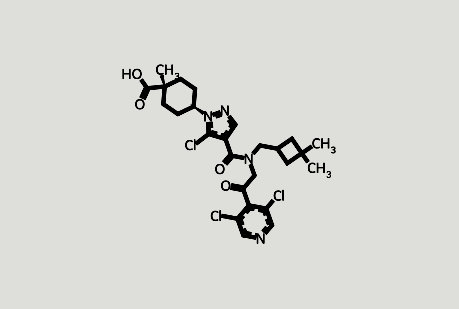 CC1(C)CC(CN(CC(=O)c2c(Cl)cncc2Cl)C(=O)c2cnn([C@H]3CC[C@](C)(C(=O)O)CC3)c2Cl)C1